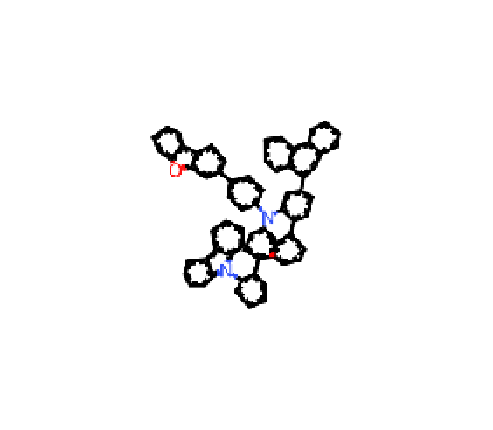 c1ccc(-c2ccc(-c3cc4ccccc4c4ccccc34)cc2N(c2ccc(-c3ccc4c(c3)oc3ccccc34)cc2)c2ccc(-c3ccccc3-n3c4ccccc4c4ccccc43)cc2)cc1